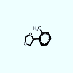 Cc1ccccc1C1COCO1